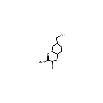 C=C(CC1CCC(CO)CC1)C(=O)OC